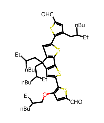 CCCCC(CC)COc1cc(C=O)sc1-c1cc2c(s1)-c1sc(-c3sc(C=O)cc3CC(CC)CCCC)cc1C2(CC(CC)CCCC)CC(CC)CCCC